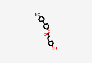 N#Cc1ccc(-c2ccc(OC(=O)C=Cc3ccc(O)cc3)cc2)cc1